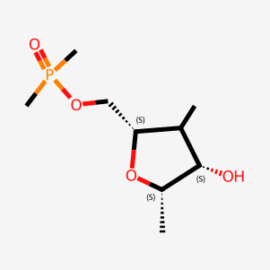 CC1[C@@H](COP(C)(C)=O)O[C@@H](C)[C@H]1O